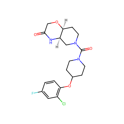 O=C1CO[C@H]2CCN(C(=O)N3CCC(Oc4ccc(F)cc4Cl)CC3)C[C@H]2N1